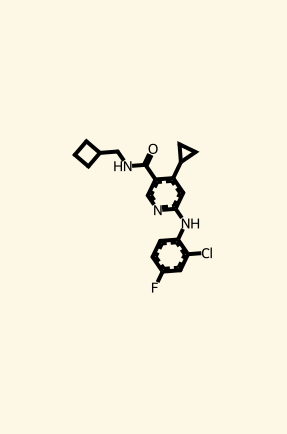 O=C(NCC1CCC1)c1cnc(Nc2ccc(F)cc2Cl)cc1C1CC1